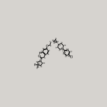 O=C(Cc1ccc(OCC[C@@H]2C[C@@H]2C2CCN(c3ncc(Cl)cn3)CC2)cc1F)N1CCC(F)(F)C1